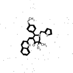 CSc1ccc(C2C(=Cc3ccc4ccccc4n3)C(=O)C(C)(C)CN2Cc2cccs2)cc1